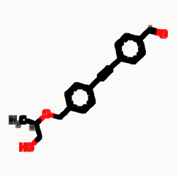 C[C@H](CO)OCc1ccc(C#Cc2ccc([C]=O)cc2)cc1